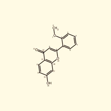 COc1ccccc1-c1cc(=O)c2ccc(O)cc2o1